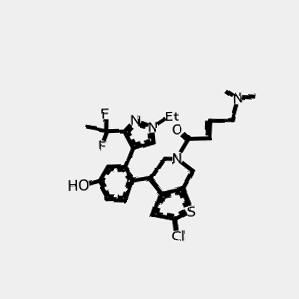 CCn1cc(-c2cc(O)ccc2C2CN(C(=O)/C=C/CN(C)C)Cc3sc(Cl)cc32)c(C(C)(F)F)n1